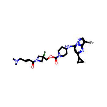 CC(C)c1cnn2c(NC3CCN(C(=O)OCC4(F)CN(C(=O)/C=C/CN(C)C)C4)CC3)cc(C3CC3)nc12